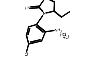 CCC1CSC(=N)N1c1ccc(Cl)cc1N.Cl.Cl